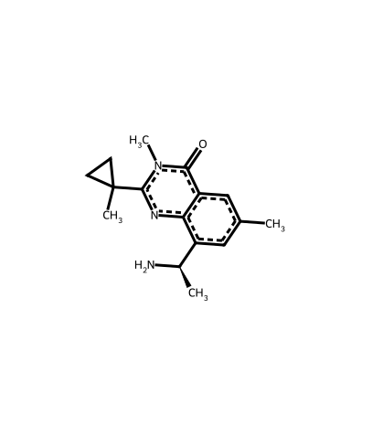 Cc1cc([C@@H](C)N)c2nc(C3(C)CC3)n(C)c(=O)c2c1